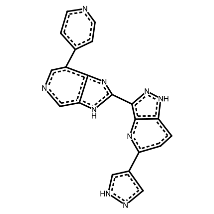 c1cc(-c2cncc3[nH]c(-c4n[nH]c5ccc(-c6cn[nH]c6)nc45)nc23)ccn1